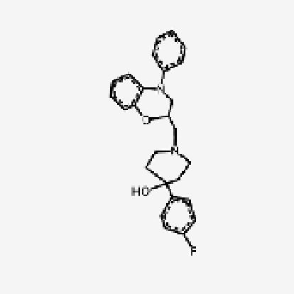 OC1(c2ccc(F)cc2)CCN(CC2CN(c3ccccc3)c3ccccc3O2)CC1